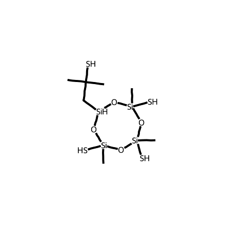 CC(C)(S)C[SiH]1O[Si](C)(S)O[Si](C)(S)O[Si](C)(S)O1